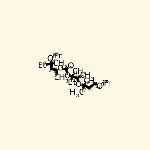 CCC(C)(CC(C)OC(=O)OC(C)(CC)C(C)OC(C)(C)CCOC(C)C)OC(C)C